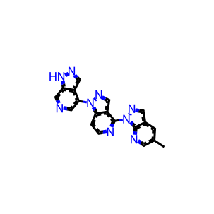 Cc1cnc2c(cnn2-c2nccc3c2cnn3-c2cncc3[nH]ncc23)c1